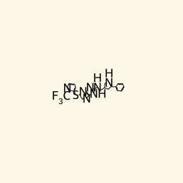 FC(F)(F)c1ncccc1Sc1cnc2[nH]c(NCC3CNC(c4ccccc4)C3)nc2n1